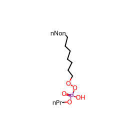 CCCCCCCCCCCCCCCCOOP(=O)(O)OCCC